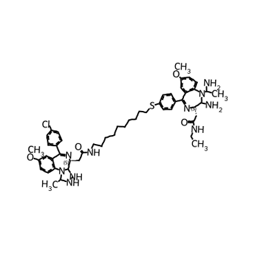 CCNC(=O)C[C@@H]1N=C(c2ccc(SCCCCCCCCCCNC(=O)C[C@@H]3N=C(c4ccc(Cl)cc4)c4cc(OC)ccc4N4C(C)NNC34)cc2)c2cc(OC)ccc2N(C(C)N)C1N